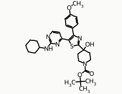 COc1ccc(-c2nc(C3(O)CCN(C(=O)OC(C)(C)C)CC3)sc2-c2ccnc(NC3CCCCC3)n2)cc1